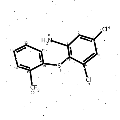 Nc1cc(Cl)cc(Cl)c1Sc1ccccc1C(F)(F)F